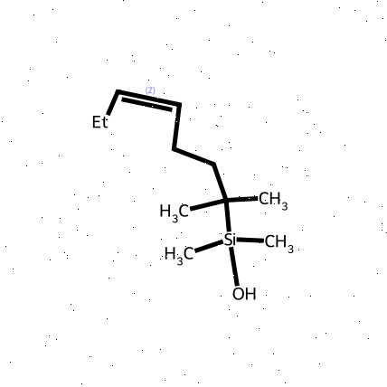 CC/C=C\CCC(C)(C)[Si](C)(C)O